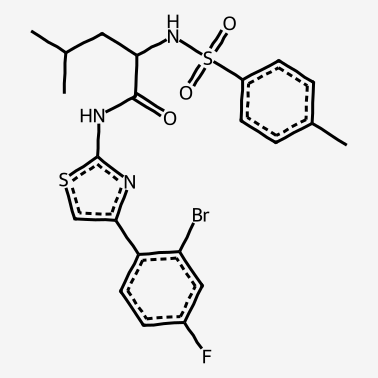 Cc1ccc(S(=O)(=O)NC(CC(C)C)C(=O)Nc2nc(-c3ccc(F)cc3Br)cs2)cc1